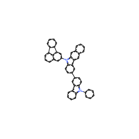 c1ccc(-n2c3ccccc3c3cc(-c4ccc5c(c4)c4cc6ccccc6cc4n5-c4cc5c6c(cccc6c4)-c4ccccc4-5)ccc32)cc1